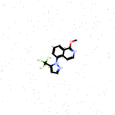 COc1nccc2c(-n3nccc3C(F)(F)F)cccc12